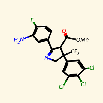 COC(=O)C1C(c2ccc(F)c(N)c2)=NCC1(c1cc(Cl)c(Cl)c(Cl)c1)C(F)(F)F